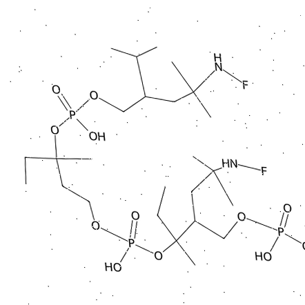 CCC(C)(CCOP(=O)(O)OC(C)(CC)C(COP(=O)(O)O)CC(C)(C)NF)OP(=O)(O)OCC(CC(C)(C)NF)C(C)C